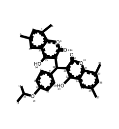 Cc1cc(C)c2oc(=O)c(C(c3ccc(OC(C)C)cc3)c3c(O)c4cc(C)cc(C)c4oc3=O)c(O)c2c1